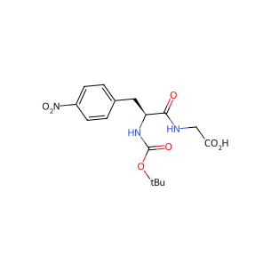 CC(C)(C)OC(=O)N[C@@H](Cc1ccc([N+](=O)[O-])cc1)C(=O)NCC(=O)O